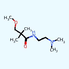 COCC(C)(C)C(=O)NCCN(C)C